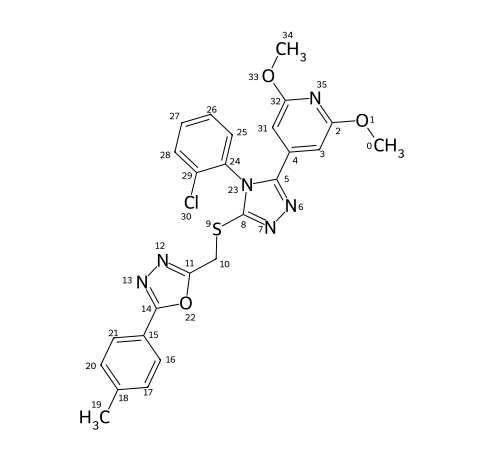 COc1cc(-c2nnc(SCc3nnc(-c4ccc(C)cc4)o3)n2-c2ccccc2Cl)cc(OC)n1